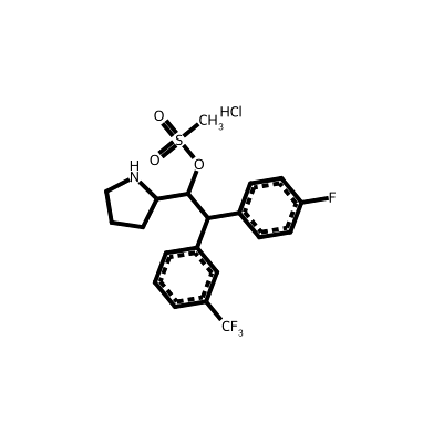 CS(=O)(=O)OC(C1CCCN1)C(c1ccc(F)cc1)c1cccc(C(F)(F)F)c1.Cl